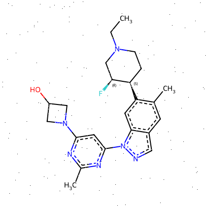 CCN1CC[C@@H](c2cc3c(cnn3-c3cc(N4CC(O)C4)nc(C)n3)cc2C)[C@@H](F)C1